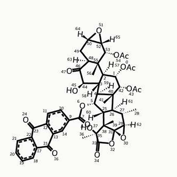 CC(=O)O[C@H]1[C@H]2[C@H]([C@@H]3[C@@H](OC(=O)c4ccc5c(c4)C(=O)c4ccccc4C5=O)[C@@H]4[C@H]([C@H](C)[C@H]5O[C@]56OC(=O)[C@@](C)(O)[C@]46C)[C@@]3(C)[C@H]1OC(C)=O)[C@@H](O)C(=O)[C@H]1C[C@@H]3O[C@@H]3[C@H](OC(C)=O)[C@]21C